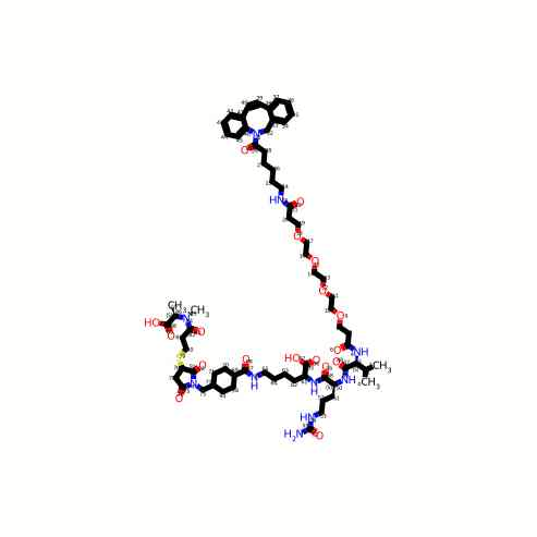 CC(C)[C@H](NC(=O)CCOCCOCCOCCOCCC(=O)NCCCCCC(=O)N1Cc2ccccc2C#Cc2ccccc21)C(=O)N[C@@H](CCCNC(N)=O)C(=O)NC(CCCCNC(=O)C1CCC(CN2C(=O)CC(SCCC(=O)N(C)[C@@H](C)C(=O)O)C2=O)CC1)C(=O)O